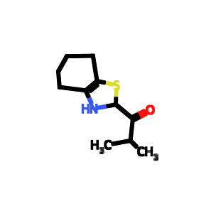 CC(C)C(=O)C1NC2=C(CCCC2)S1